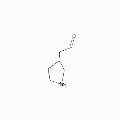 O=[C]CC1CCNC1